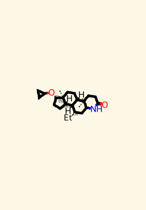 CC[C@H]1CC2NC(=O)CC[C@]2(C)[C@H]2CC[C@]3(C)[C@@H](OC4CC4)CC[C@H]3[C@H]12